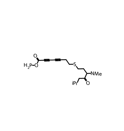 CNC(CCSCCC#CC#CC(=O)OP)C(=O)CC(C)C